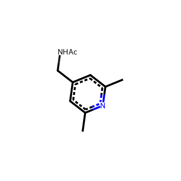 CC(=O)NCc1cc(C)nc(C)c1